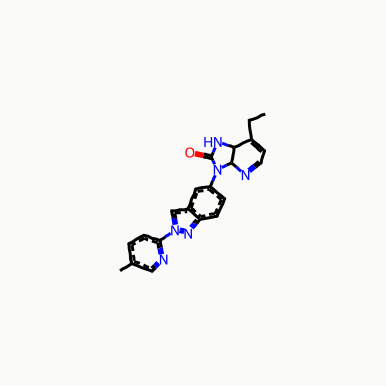 CCC1=CC=NC2C1NC(=O)N2c1ccc2nn(-c3ccc(C)cn3)cc2c1